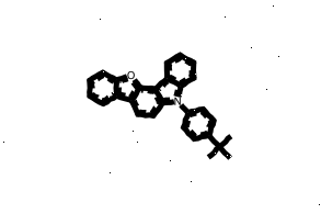 CC(C)(C)c1ccc(-n2c3ccccc3c3c4oc5ccccc5c4ccc32)cc1